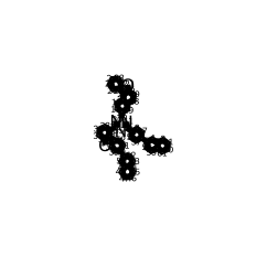 c1ccc2cc(-c3ccc(-c4nc(-c5ccc6c(ccc7oc8ccccc8c76)c5)nc(-c5cccc6oc7cc(-c8ccc9ccccc9c8)ccc7c56)n4)cc3)ccc2c1